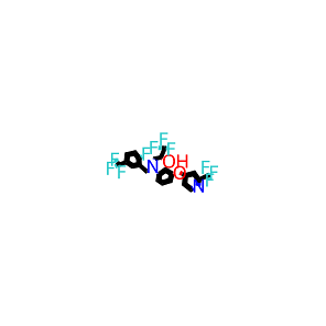 OC(CN(Cc1cc(C(F)(F)F)ccc1F)c1cccc(Oc2ccnc(C(F)(F)F)c2)c1)C(F)(F)F